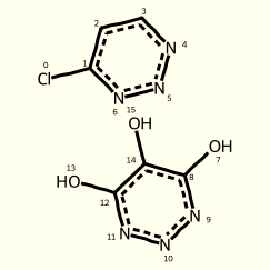 Clc1ccnnn1.Oc1nnnc(O)c1O